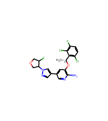 C[C@@H](Oc1cc(-c2cnn(C3COCC3F)c2)cnc1N)c1c(Cl)ccc(F)c1Cl